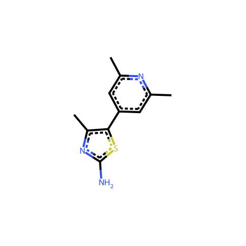 Cc1cc(-c2sc(N)nc2C)cc(C)n1